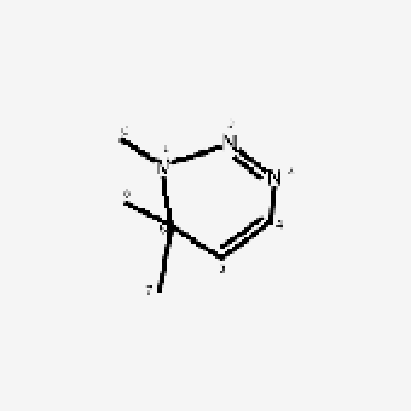 CN1N=NC=CC1(C)C